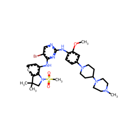 COc1cc(N2CCC(N3CCN(C)CC3)CC2)ccc1Nc1ncc(Br)c(Nc2cccc3c2N(S(C)(=O)=O)CC3(C)C)n1